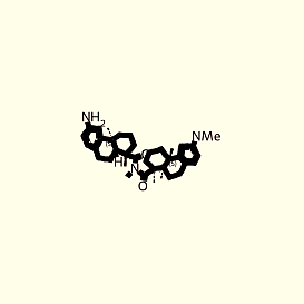 CNc1ccc2c(c1)[C@@]1(C)CCC[C@](C)(C(=O)N(C)C(=O)[C@@]3(C)CCC[C@]4(C)c5cc(N)ccc5CC[C@@H]34)[C@]1(C)CC2